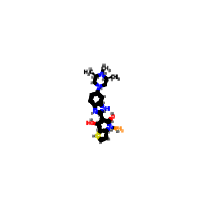 C[C@@H]1CN(c2ccc3nc(-c4c(O)c5sccc5n(P)c4=O)[nH]c3c2)C[C@H](C)N1C